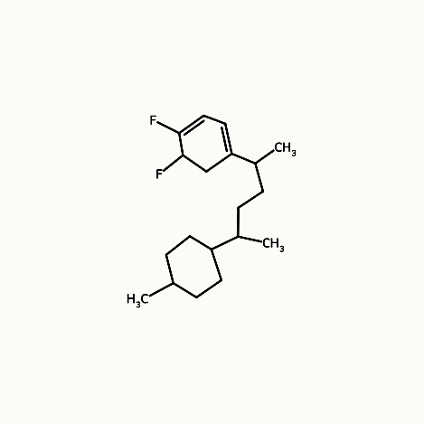 CC1CCC(C(C)CCC(C)C2=CC=C(F)C(F)C2)CC1